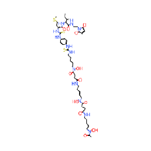 CC[C@H](C)[C@H](NC(=O)[C@H](CCSC)NC(=S)Nc1ccc(NC(=S)NCCCCCN(O)C(=O)CCC(=O)NCCCCCN(O)C(=O)CCC(=O)NCCCCCN(O)C(C)=O)cc1)C(=O)NCCN1C(=O)C=CC1=O